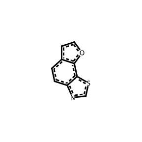 c1cc2ccc3ncsc3c2o1